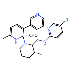 CC1=CC=C(c2cccnc2)[C@@](C=O)(N2CCC[C@@H](C)C2CNc2ccc(Cl)cn2)N1